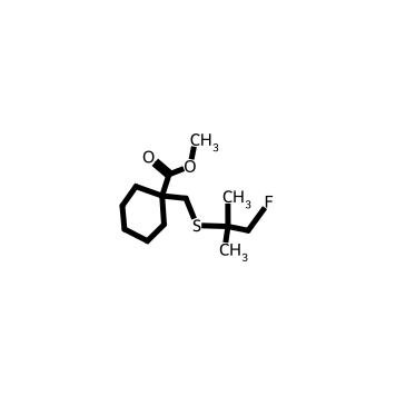 COC(=O)C1(CSC(C)(C)CF)CCCCC1